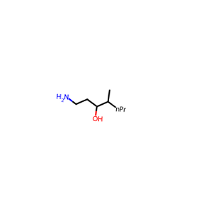 CCCC(C)C(O)CCN